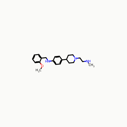 CNCCN1CCC(c2ccc(NCc3ccccc3OC)cc2)CC1